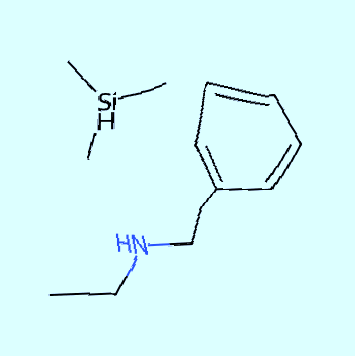 CCNCc1ccccc1.C[SiH](C)C